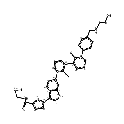 Cc1c(-c2ccc(CNCCO)cc2)cccc1-c1cccc(-c2ccn3c(-n4ccc(C(=O)NCC(=O)O)n4)nnc3c2)c1C